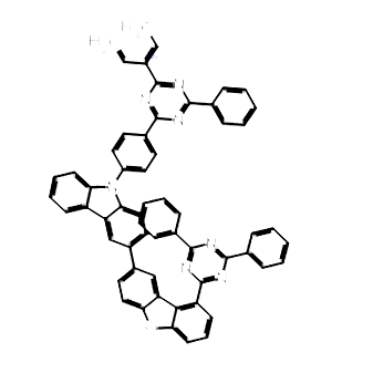 C=C/C(=C\C)c1nc(-c2ccccc2)nc(-c2ccc(-n3c4ccccc4c4cc(-c5ccc6oc7cccc(-c8nc(-c9ccccc9)nc(-c9ccccc9)n8)c7c6c5)ccc43)cc2)n1